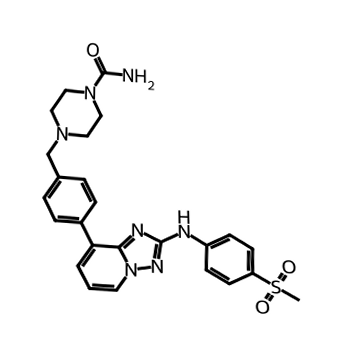 CS(=O)(=O)c1ccc(Nc2nc3c(-c4ccc(CN5CCN(C(N)=O)CC5)cc4)cccn3n2)cc1